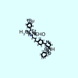 CCN(C=O)/C(CCCc1ccc(-c2cc(NS(=O)(=O)c3ccccc3)ccn2)cc1)=N\N(C)Cc1ccc(C(C)(C)C)cc1